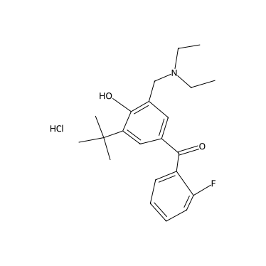 CCN(CC)Cc1cc(C(=O)c2ccccc2F)cc(C(C)(C)C)c1O.Cl